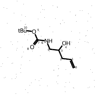 C=CCC(O)CNC(=O)OC(C)(C)C